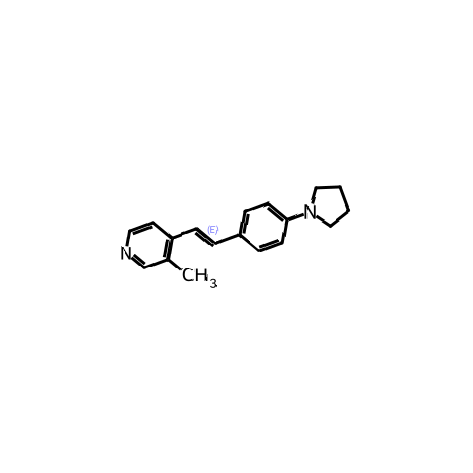 Cc1cnccc1/C=C/c1ccc(N2CCCC2)cc1